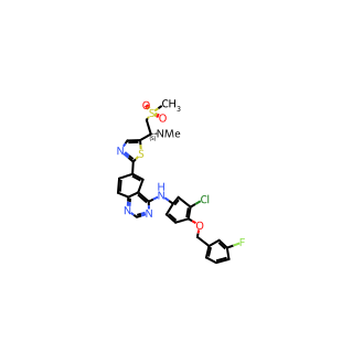 CN[C@@H](CS(C)(=O)=O)c1cnc(-c2ccc3ncnc(Nc4ccc(OCc5cccc(F)c5)c(Cl)c4)c3c2)s1